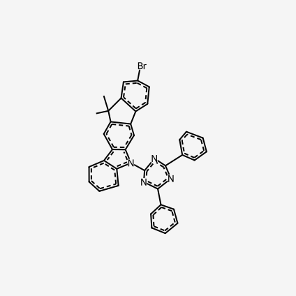 CC1(C)c2cc(Br)ccc2-c2cc3c(cc21)c1ccccc1n3-c1nc(-c2ccccc2)nc(-c2ccccc2)n1